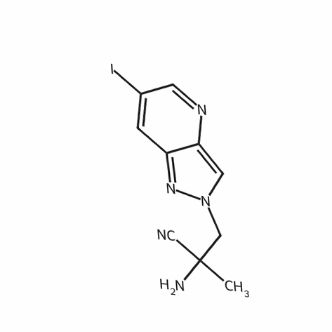 CC(N)(C#N)Cn1cc2ncc(I)cc2n1